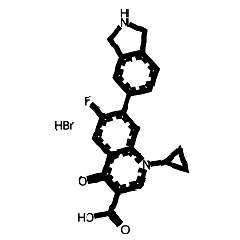 Br.O=C(O)c1cn(C2CC2)c2cc(-c3ccc4c(c3)CNC4)c(F)cc2c1=O